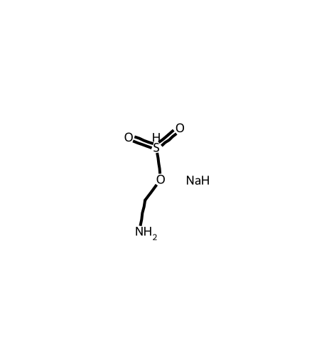 NCO[SH](=O)=O.[NaH]